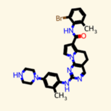 Cc1cc(N2CCNCC2)ccc1Nc1ncc2c(n1)-n1ccc(C(=O)Nc3c(C)cccc3Br)c1CC2